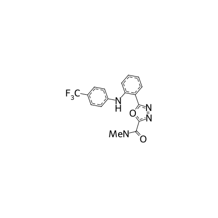 CNC(=O)c1nnc(-c2ccccc2Nc2ccc(C(F)(F)F)cc2)o1